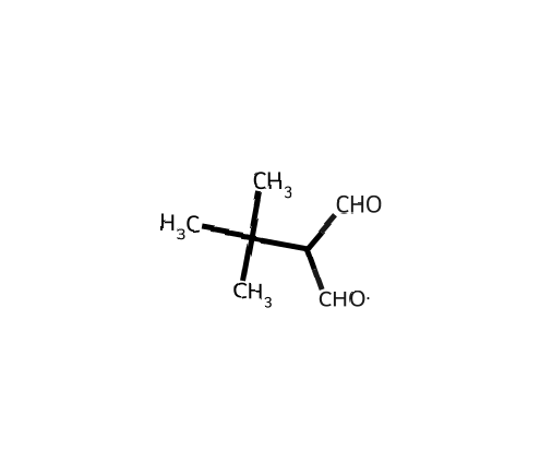 CC(C)(C)C([C]=O)C=O